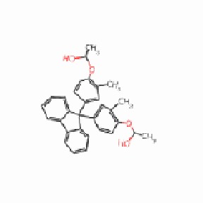 Cc1cc(C2(c3ccc(OC(C)O)c(C)c3)c3ccccc3-c3ccccc32)ccc1OC(C)O